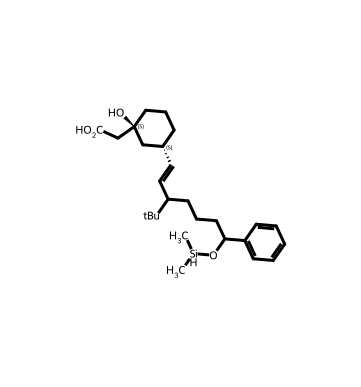 C[SiH](C)OC(CCCC(C=C[C@H]1CCC[C@@](O)(CC(=O)O)C1)C(C)(C)C)c1ccccc1